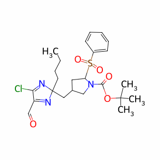 CCCCC1(CC2CC(S(=O)(=O)c3ccccc3)N(C(=O)OC(C)(C)C)C2)N=C(Cl)C(C=O)=N1